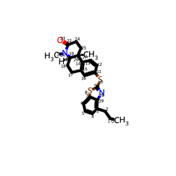 CCCc1cccc2sc(Sc3ccc4c(c3)CC[C@H]3N(C)C(=O)CC[C@]43C)nc12